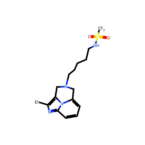 CCc1nc2cccc3n2c1CN(CCCCCNS(=O)(=O)C(F)(F)F)C3